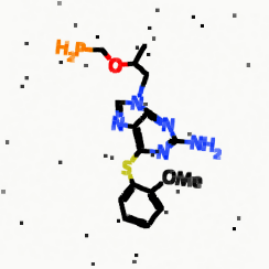 COc1ccccc1Sc1nc(N)nc2c1ncn2CC(C)OCP